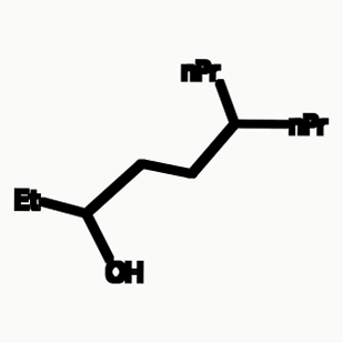 CCCC(CCC)CCC(O)CC